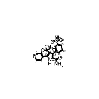 CC1(C)Oc2cnccc2-c2[nH]c(C(N)=O)c(-c3cccc(S(N)(=O)=O)c3)c21